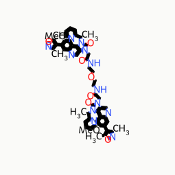 COc1cc2c(cc1-c1c(C)noc1C)ncc1c2n([C@H](C)c2ccccn2)c(=O)n1CC(=O)NCCOCCNC(=O)Cn1c(=O)n([C@H](C)c2ccccn2)c2c3cc(OC)c(-c4c(C)noc4C)cc3ncc21